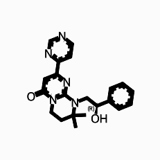 CC1(C)CCn2c(nc(-c3ccncn3)cc2=O)N1C[C@H](O)c1ccccc1